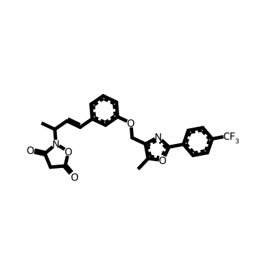 Cc1oc(-c2ccc(C(F)(F)F)cc2)nc1COc1cccc(/C=C/C(C)N2OC(=O)CC2=O)c1